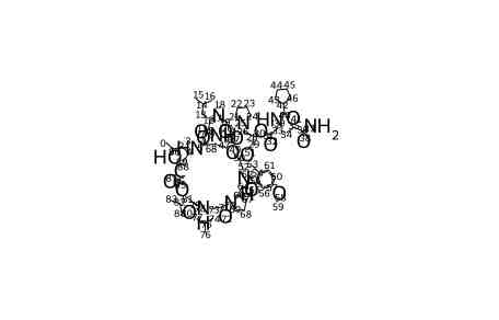 CC[C@H](C)[C@@H]1NC(=O)[C@H](NC(=O)[C@@H](CC(C)C)N(C)C(=O)[C@@H]2CCCN2C(=O)[C@H](C)OC(=O)[C@@H](CCC(N)=O)NC(=O)C2CCCC2)[C@H](C)OC(=O)[C@H](Cc2ccc(OC)cc2)N(C)C(=O)[C@@H]2CCCN2C(=O)[C@H](CC(C)C)NC(=O)[C@H](C(C)C)OC(=O)C[C@@H]1O